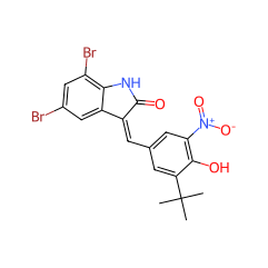 CC(C)(C)c1cc(C=C2C(=O)Nc3c(Br)cc(Br)cc32)cc([N+](=O)[O-])c1O